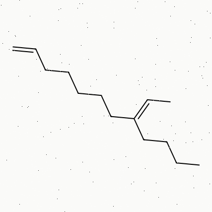 C=CCCCCCC(=CC)CCCC